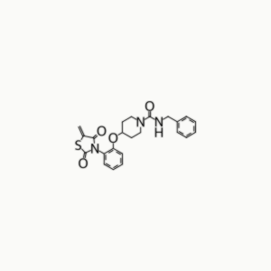 C=C1SC(=O)N(c2ccccc2OC2CCN(C(=O)NCc3ccccc3)CC2)C1=O